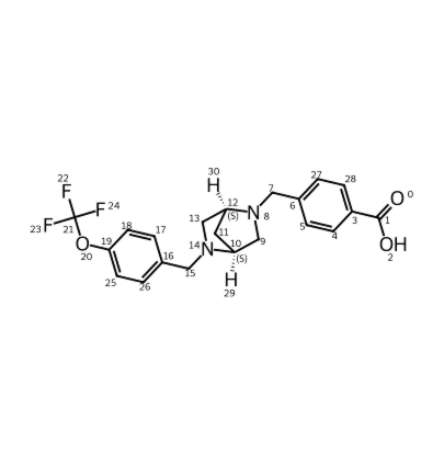 O=C(O)c1ccc(CN2C[C@@H]3C[C@H]2CN3Cc2ccc(OC(F)(F)F)cc2)cc1